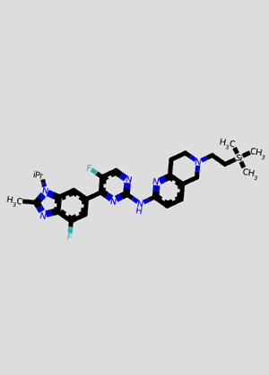 Cc1nc2c(F)cc(-c3nc(Nc4ccc5c(n4)CCN(CC[Si](C)(C)C)C5)ncc3F)cc2n1C(C)C